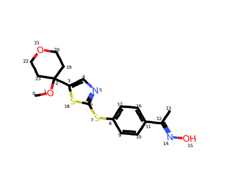 COC1(c2cnc(Sc3ccc(/C(C)=N/O)cc3)s2)CCOCC1